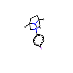 CN1[C@@H]2CC[C@H]1CN(c1ccc(I)cc1)C2